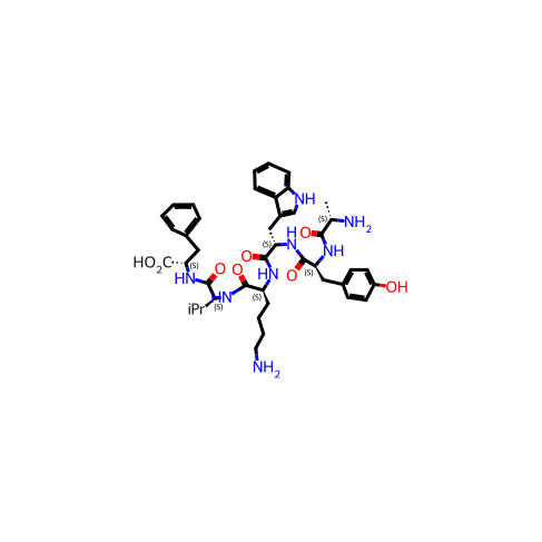 CC(C)[C@H](NC(=O)[C@H](CCCCN)NC(=O)[C@H](Cc1c[nH]c2ccccc12)NC(=O)[C@H](Cc1ccc(O)cc1)NC(=O)[C@H](C)N)C(=O)N[C@@H](Cc1ccccc1)C(=O)O